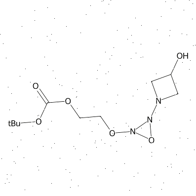 CC(C)(C)OC(=O)OCCOn1on1N1CC(O)C1